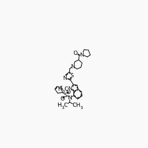 CC(C)N(c1cccc2cc(-c3ncc(CN4CCCC(C(=O)N5CCCC5)C4)s3)n(C)c12)S(=O)(=O)C1CC=CS1